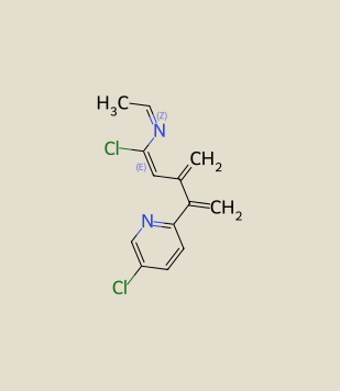 C=C(/C=C(Cl)\N=C/C)C(=C)c1ccc(Cl)cn1